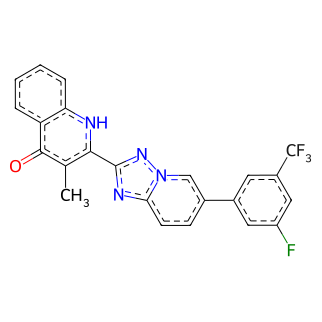 Cc1c(-c2nc3ccc(-c4cc(F)cc(C(F)(F)F)c4)cn3n2)[nH]c2ccccc2c1=O